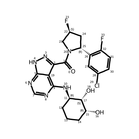 O=C(c1n[nH]c2ncnc(N[C@@H]3CCC[C@@H](O)[C@H]3O)c12)N1C[C@@H](F)C[C@@H]1c1cc(Cl)ccc1F